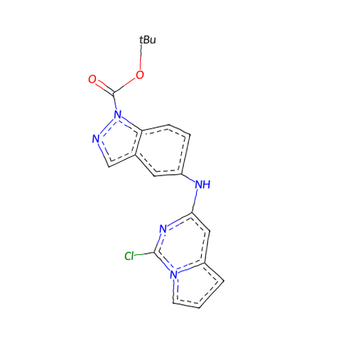 CC(C)(C)OC(=O)n1ncc2cc(Nc3cc4cccn4c(Cl)n3)ccc21